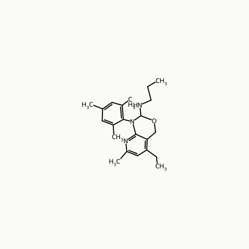 CCCNC1OCc2c(CC)cc(C)nc2N1c1c(C)cc(C)cc1C